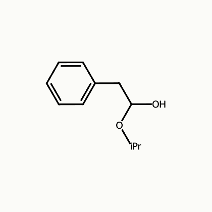 CC(C)OC(O)Cc1ccccc1